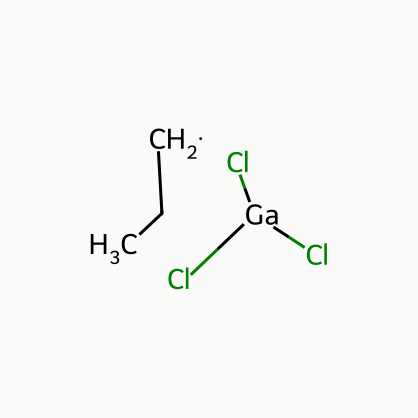 [CH2]CC.[Cl][Ga]([Cl])[Cl]